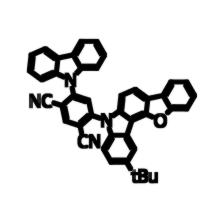 CC(C)(C)c1ccc2c(c1)c1c3oc4ccccc4c3ccc1n2-c1cc(-n2c3ccccc3c3ccccc32)c(C#N)cc1C#N